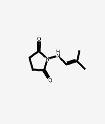 CC(C)=CNN1C(=O)CCC1=O